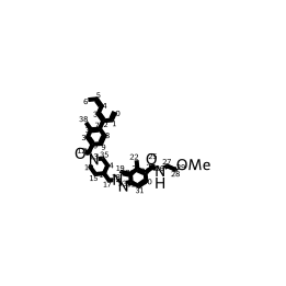 C=C/C(=C\C=C/C)c1ccc(C(=O)N2CCC(Cn3cc4c(C)c(C(=O)NCCOC)ccc4n3)CC2)cc1C